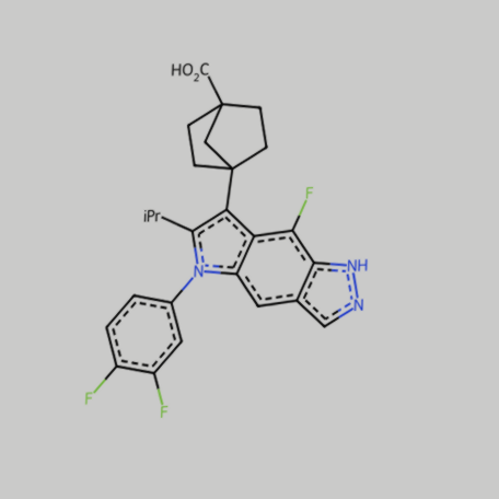 CC(C)c1c(C23CCC(C(=O)O)(CC2)C3)c2c(F)c3[nH]ncc3cc2n1-c1ccc(F)c(F)c1